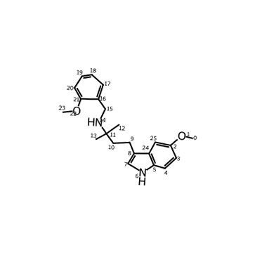 COc1ccc2[nH]cc(CCC(C)(C)NCc3ccccc3OC)c2c1